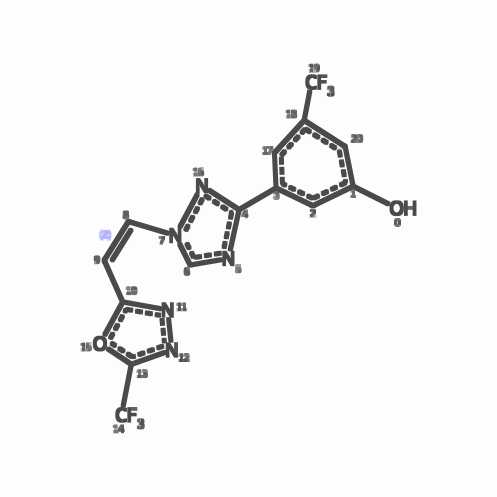 Oc1cc(-c2ncn(/C=C\c3nnc(C(F)(F)F)o3)n2)cc(C(F)(F)F)c1